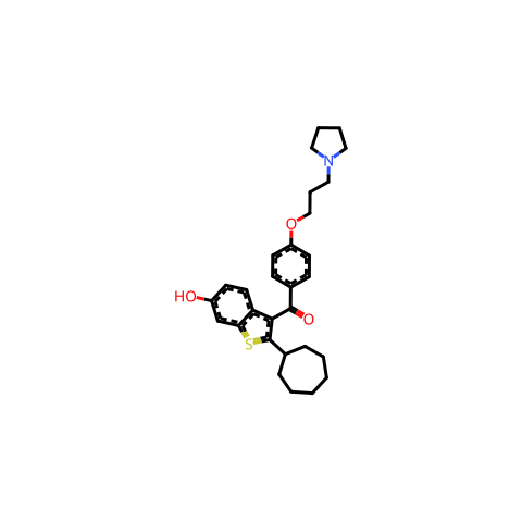 O=C(c1ccc(OCCCN2CCCC2)cc1)c1c(C2CCCCCC2)sc2cc(O)ccc12